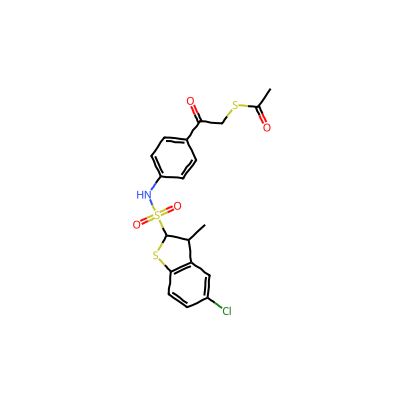 CC(=O)SCC(=O)c1ccc(NS(=O)(=O)C2Sc3ccc(Cl)cc3C2C)cc1